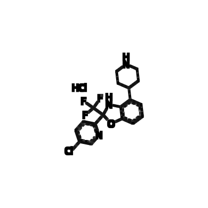 Cl.FC(F)(F)C1(c2ccc(Cl)cn2)Nc2c(cccc2C2CCNCC2)O1